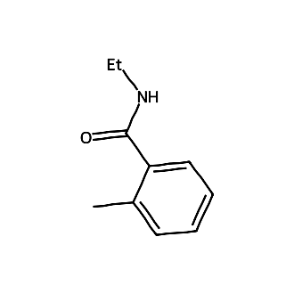 CCNC(=O)c1ccccc1C